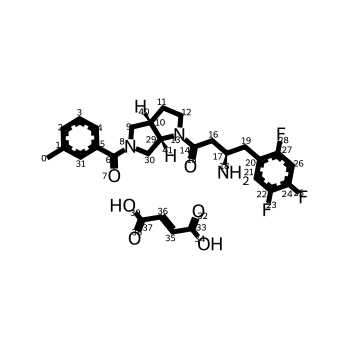 Cc1cccc(C(=O)N2C[C@@H]3CCN(C(=O)C[C@H](N)Cc4cc(F)c(F)cc4F)[C@@H]3C2)c1.O=C(O)/C=C/C(=O)O